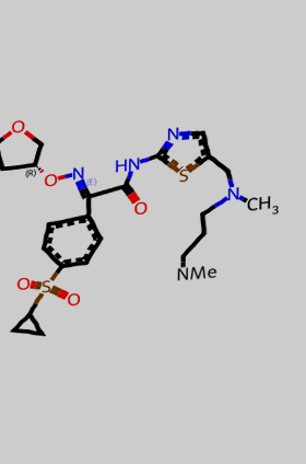 CNCCCN(C)Cc1cnc(NC(=O)/C(=N/O[C@@H]2CCOC2)c2ccc(S(=O)(=O)C3CC3)cc2)s1